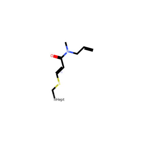 C=CCN(C)C(=O)/C=C/SCCCCCCCC